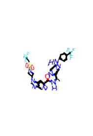 C[C@@H](NC(=O)c1cc2c(cn1)ncn2C1CN(S(=O)(=O)CC(F)(F)F)C1)c1cnc(Nc2ccc(C(F)(F)F)cc2)cn1